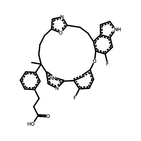 CC1(c2cccc(CCC(=O)O)c2)CCCc2cnc(o2)CCc2c(c(F)cc3[nH]ccc23)Oc2ccc(F)c(c2)-c2ncc1[nH]2